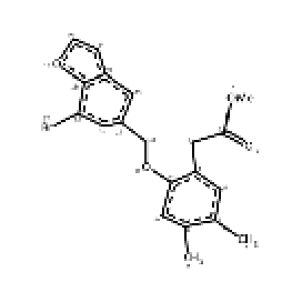 COC(=O)Cc1cc(C)c(C)cc1OCc1cc(Br)c2occc2c1